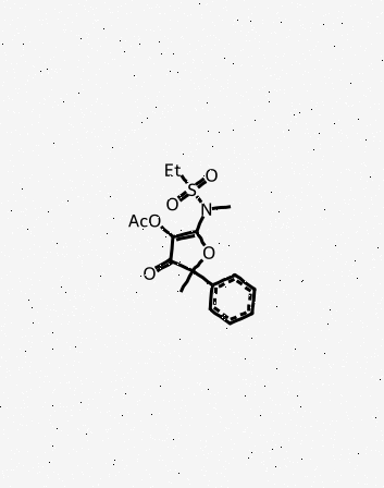 CCS(=O)(=O)N(C)C1=C(OC(C)=O)C(=O)C(C)(c2ccccc2)O1